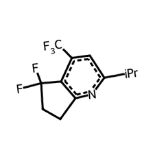 CC(C)c1cc(C(F)(F)F)c2c(n1)CCC2(F)F